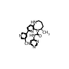 C[C@@H]1CCCNc2ccc(-c3cncc(C#N)c3)nc2N1C(=O)Nc1ccncn1